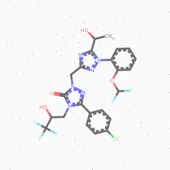 CC(O)c1nc(Cn2nc(-c3ccc(Cl)cc3)n(CC(O)C(F)(F)F)c2=O)nn1-c1ccccc1OC(F)F